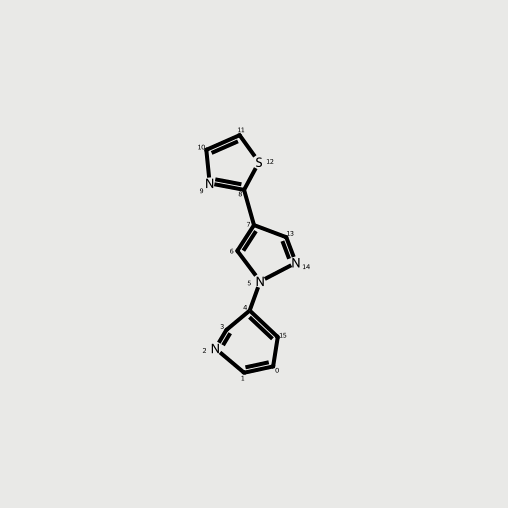 c1cncc(-n2cc(-c3nccs3)cn2)c1